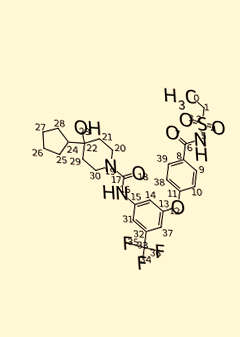 CCS(=O)(=O)NC(=O)c1ccc(Oc2cc(NC(=O)N3CCC(O)(C4CCCC4)CC3)cc(C(F)(F)F)c2)cc1